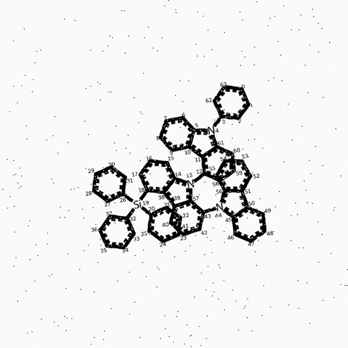 c1ccc(-n2c3ccccc3c3c(-n4c5cccc([Si](c6ccccc6)(c6ccccc6)c6ccccc6)c5c5cccc(-n6c7ccccc7c7ccccc76)c54)cccc32)cc1